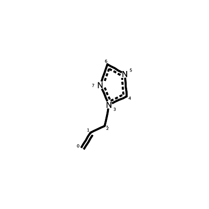 C=C[CH]n1cncn1